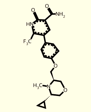 CN1[C@@H](COc2ccc(-c3cc(C(N)=O)c(=O)[nH]c3C(F)(F)F)cc2)COC[C@@H]1C1CC1